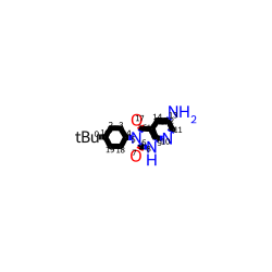 CC(C)(C)C1CCC(n2c(=O)[nH]c3ncc(N)cc3c2=O)CC1